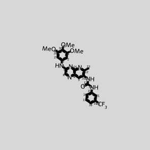 COc1cc(Nc2cnc3cc(NC(=O)Nc4cccc(C(F)(F)F)c4)c(C)nc3n2)cc(OC)c1OC